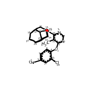 [C-]#[N+]c1ccc(Oc2ncnc(OC3C4CCCC3COC4)c2C)c(Cl)c1